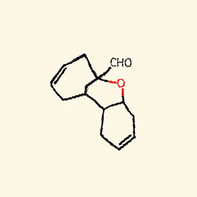 O=CC12CC=CCC1C1CC=CCC1O2